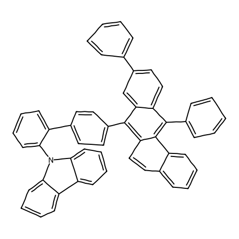 c1ccc(-c2ccc3c(-c4ccccc4)c4c(ccc5ccccc54)c(-c4ccc(-c5ccccc5-n5c6ccccc6c6ccccc65)cc4)c3c2)cc1